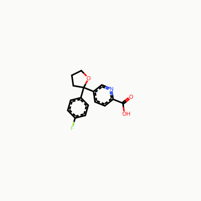 O=C(O)c1ccc(C2(c3ccc(F)cc3)CCCO2)cn1